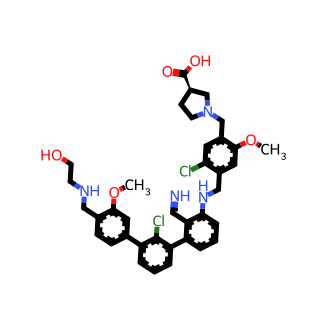 COc1cc(-c2cccc(-c3cccc(NCc4cc(OC)c(CN5CC[C@@H](C(=O)O)C5)cc4Cl)c3C=N)c2Cl)ccc1CNCCO